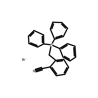 N#Cc1ccccc1C[P+](c1ccccc1)(c1ccccc1)c1ccccc1.[Br-]